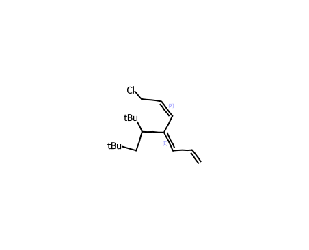 C=C/C=C(\C=C/CCl)C(CC(C)(C)C)C(C)(C)C